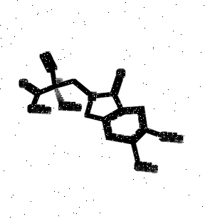 C#C[C@](CN1Cc2cc(OC)c(OC)cc2C1=O)(NC)C(=O)OC